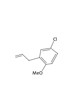 C=CCc1cc(Cl)ccc1OC